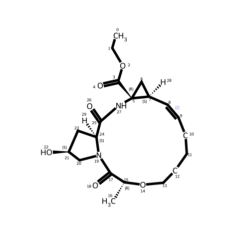 CCOC(=O)[C@@]12C[C@H]1/C=C\CCCCO[C@H](C)C(=O)N1C[C@@H](O)C[C@H]1C(=O)N2